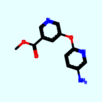 COC(=O)c1cncc(Oc2ccc(N)cn2)c1